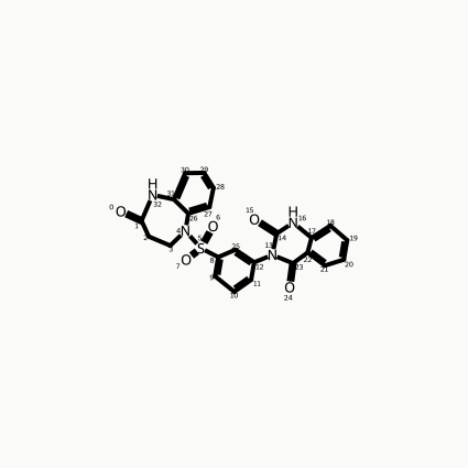 O=C1CCN(S(=O)(=O)c2cccc(-n3c(=O)[nH]c4ccccc4c3=O)c2)c2ccccc2N1